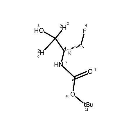 [2H]C([2H])(O)[C@H](CF)NC(=O)OC(C)(C)C